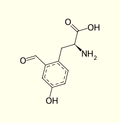 N[C@@H](Cc1ccc(O)cc1C=O)C(=O)O